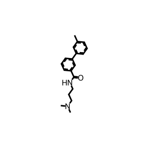 Cc1cccc(-c2cccc(C(=O)NCCCN(C)C)c2)c1